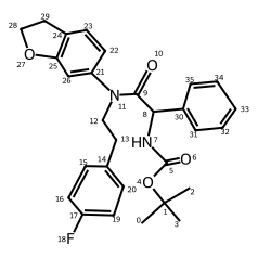 CC(C)(C)OC(=O)NC(C(=O)N(CCc1ccc(F)cc1)c1ccc2c(c1)OCC2)c1ccccc1